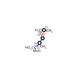 COC[C@H](NC(=O)c1ccc(-c2cccc(NS(=O)(=O)c3cc(C)c(Cl)cc3C)c2)cc1C)C(=O)O